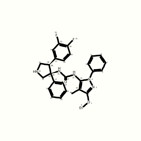 CCOc1nn(-c2ccccc2)c(NC(=O)N[C@@]2(c3ccccc3)CNC[C@H]2c2ccc(F)c(F)c2)c1C